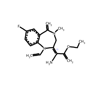 C=CN1/C(=C(\N)C(=C)OCC)CN(C)C(=C)c2cc(F)ccc21